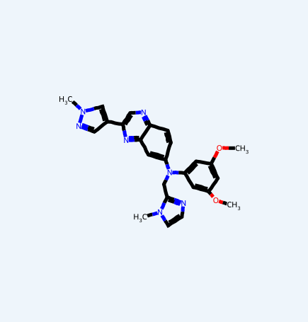 COc1cc(OC)cc(N(Cc2nccn2C)c2ccc3ncc(-c4cnn(C)c4)nc3c2)c1